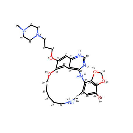 CN1CCN(CCCOc2cc3ncnc4c3cc2OCCCCCNCc2cc(Br)c3c(c2N4)OCO3)CC1